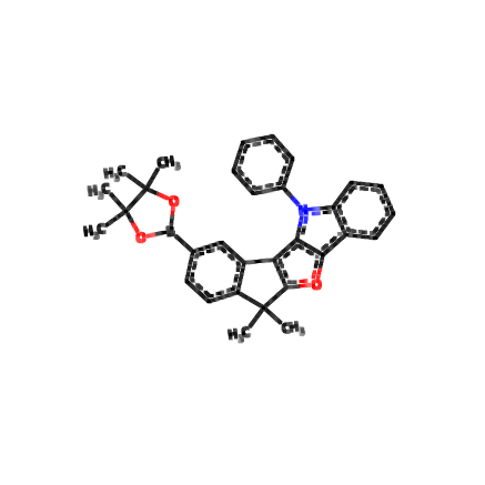 CC1(C)c2ccc(B3OC(C)(C)C(C)(C)O3)cc2-c2c1oc1c3ccccc3n(-c3ccccc3)c21